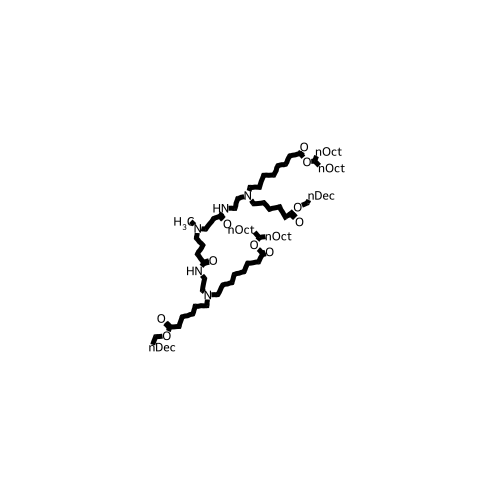 CCCCCCCCCCCOC(=O)CCCCCN(CCCCCCCC(=O)OC(CCCCCCCC)CCCCCCCC)CCNC(=O)CCCN(C)CCC(=O)NCCN(CCCCCCCC(=O)OC(CCCCCCCC)CCCCCCCC)CCCCCC(=O)OCCCCCCCCCCC